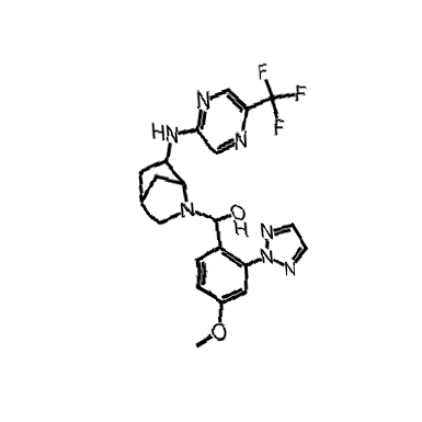 COc1ccc(C(O)N2CC3CC(Nc4cnc(C(F)(F)F)cn4)C2C3)c(-n2nccn2)c1